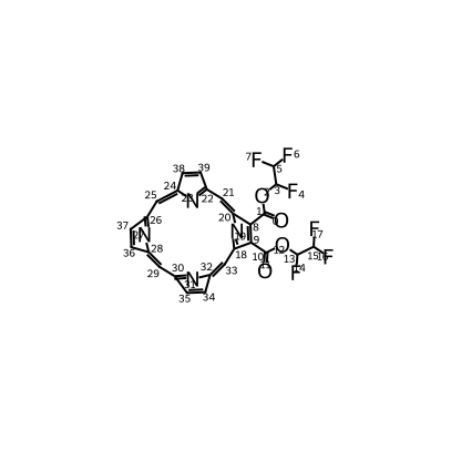 O=C(OC(F)C(F)F)C1=C(C(=O)OC(F)C(F)F)C2=NC1=CC1=NC(=CC3=NC(=CC4=NC(=C2)C=C4)C=C3)C=C1